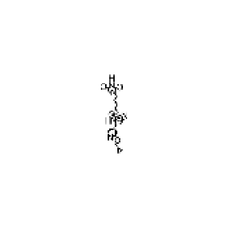 N#CC[C@@H](NS(=O)(=O)CCCCCN1CC(=O)NC1=O)c1ccnc(OCC2CC2)c1